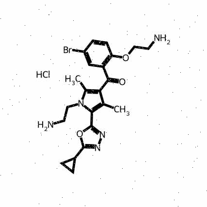 Cc1c(C(=O)c2cc(Br)ccc2OCCN)c(C)n(CCN)c1-c1nnc(C2CC2)o1.Cl